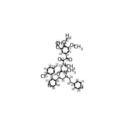 COc1cc(C(=O)C(=O)N(C)[C@@H](Cc2ccc(Cl)cc2)C(=O)N(C)C(CCc2ccncc2)CCc2ccncc2)cc(OC)c1OC